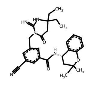 CCC1(CC)CC(=O)N(Cc2cc(C#N)cc(C(=O)N[C@H]3CC(C)(C)Oc4ccccc43)c2)C(=N)N1